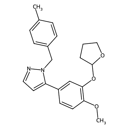 COc1ccc(-c2ccnn2Cc2ccc(C)cc2)cc1OC1CCCO1